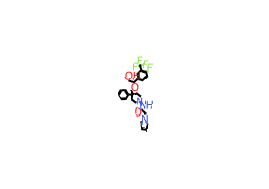 O=C(CN1CCCC1)NN1CCC(COC(CO)c2ccc(F)c(C(F)(F)F)c2)(c2ccccc2)CC1